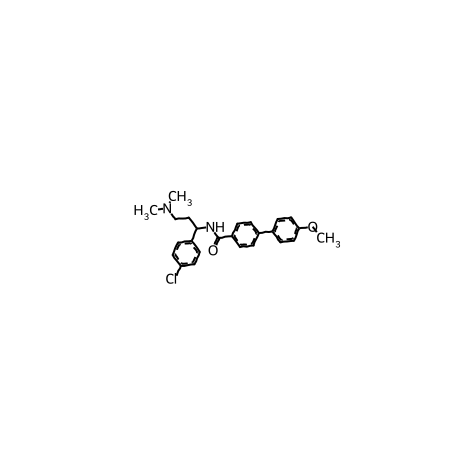 COc1ccc(-c2ccc(C(=O)NC(CCN(C)C)c3ccc(Cl)cc3)cc2)cc1